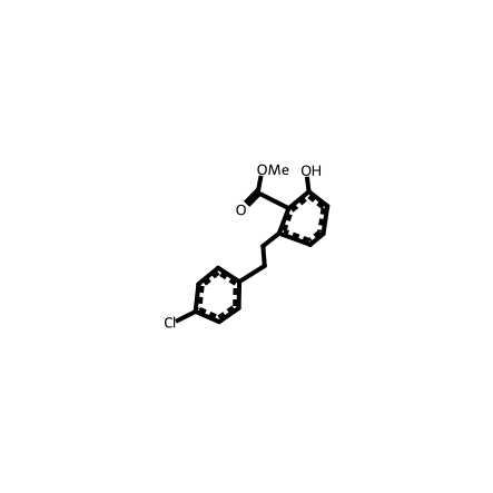 COC(=O)c1c(O)cccc1CCc1ccc(Cl)cc1